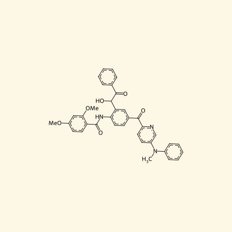 COc1ccc(C(=O)Nc2ccc(C(=O)c3ccc(N(C)c4ccccc4)cn3)cc2C(O)C(=O)c2ccccc2)c(OC)c1